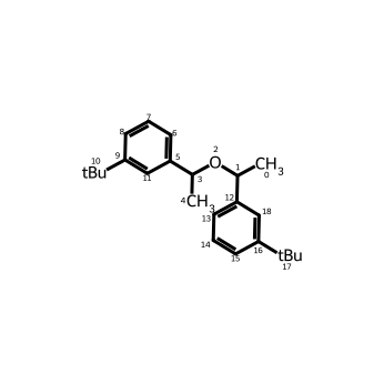 CC(OC(C)c1cccc(C(C)(C)C)c1)c1cccc(C(C)(C)C)c1